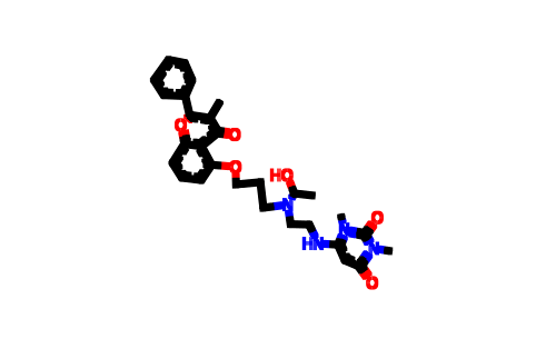 Cc1c(-c2ccccc2)oc2cccc(OCCCN(CCNc3cc(=O)n(C)c(=O)n3C)C(C)O)c2c1=O